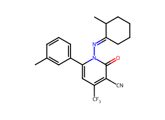 Cc1cccc(-c2cc(C(F)(F)F)c(C#N)c(=O)n2N=C2CCCCC2C)c1